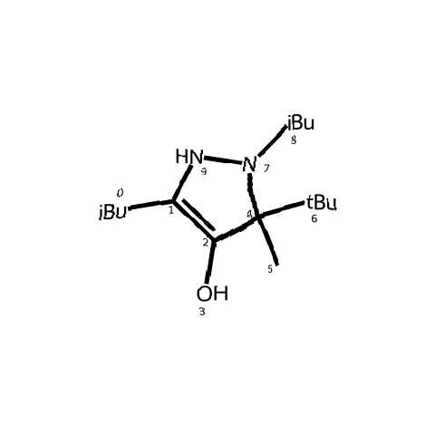 CCC(C)C1=C(O)C(C)(C(C)(C)C)N(C(C)CC)N1